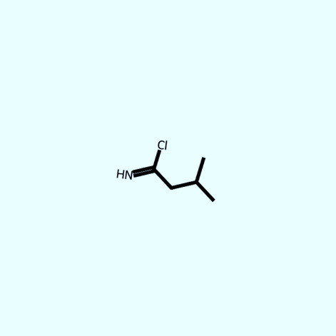 CC(C)CC(=N)Cl